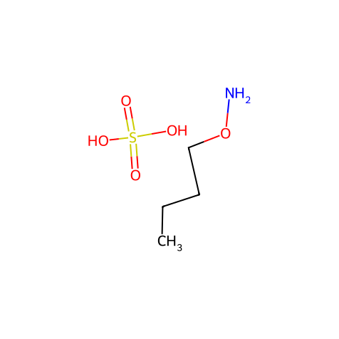 CCCCON.O=S(=O)(O)O